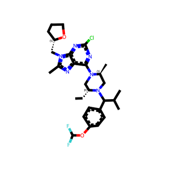 CC[C@@H]1CN(c2nc(Cl)nc3c2nc(C)n3C[C@@H]2CCCO2)[C@@H](C)CN1C(c1ccc(OC(F)F)cc1)C(C)C